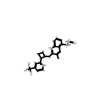 Cc1cc2c(N[SH]=O)cccc2nc1CC1CCC1c1cc(C(F)(F)F)ccn1